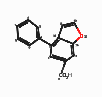 O=C(O)c1cc(-c2ccccc2)c2ccoc2c1